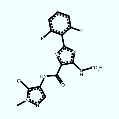 Cn1ncc(NC(=O)c2nc(-c3c(F)cccc3F)sc2NC(=O)O)c1Cl